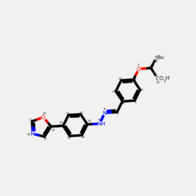 CC(C)(C)C(Oc1ccc(C=NNc2ccc(-c3cnco3)cc2)cc1)C(=O)O